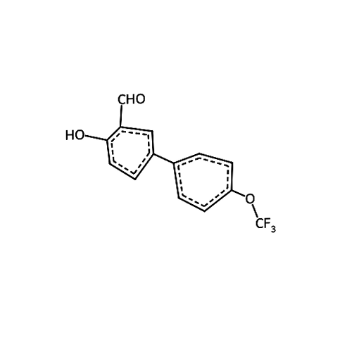 O=Cc1cc(-c2ccc(OC(F)(F)F)cc2)ccc1O